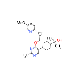 COc1ccc([C@@H]2CC2COc2nc(C)ncc2C2CCC(C(C)(C)O)CC2)nc1